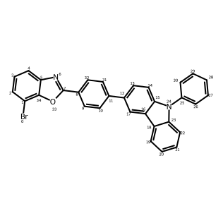 Brc1cccc2nc(-c3ccc(-c4ccc5c(c4)c4ccccc4n5-c4ccccc4)cc3)oc12